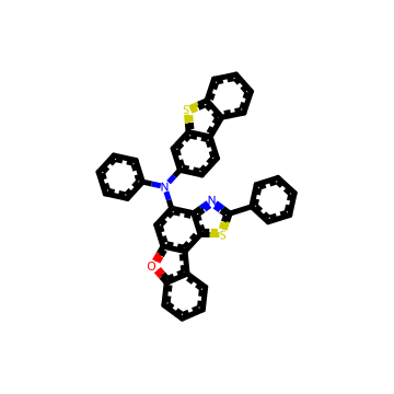 c1ccc(-c2nc3c(N(c4ccccc4)c4ccc5c(c4)sc4ccccc45)cc4oc5ccccc5c4c3s2)cc1